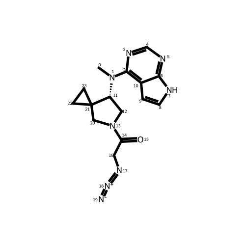 CN(c1ncnc2[nH]ccc12)[C@@H]1CN(C(=O)CN=[N+]=[N-])CC12CC2